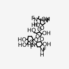 CC(NF)C(O)C(O)C(CNF)OOC1C(CO)OC(OC2C(O)C(NF)CC(NF)C2OC2CCC(O)C(CO)O2)C1O